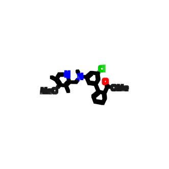 COC(=O)c1ccccc1-c1cc(Cl)cc(N(C)Cc2ncc(C)c(OC)c2C)c1